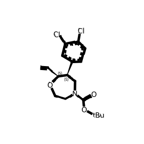 C=C[C@@H]1OCCN(C(=O)OC(C)(C)C)C[C@@H]1c1ccc(Cl)c(Cl)c1